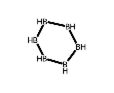 B1BBBBB1